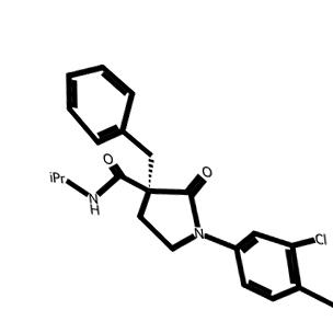 CC(C)NC(=O)[C@]1(Cc2ccccc2)CCN(c2ccc(F)c(Cl)c2)C1=O